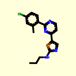 CCCNc1ncc(-c2ccnc(-c3ccc(Cl)cc3C)n2)s1